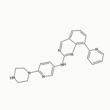 c1ccc(-c2cccc3cnc(Nc4ccc(N5CCNCC5)nc4)nc23)nc1